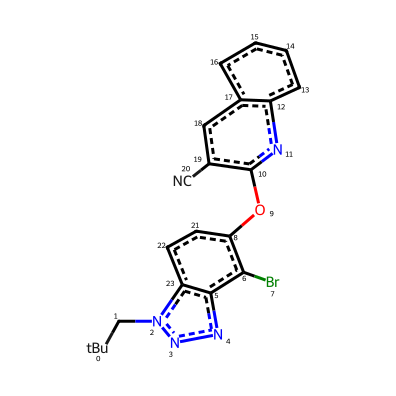 CC(C)(C)Cn1nnc2c(Br)c(Oc3nc4ccccc4cc3C#N)ccc21